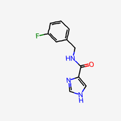 O=C(NCc1cccc(F)c1)c1c[nH]cn1